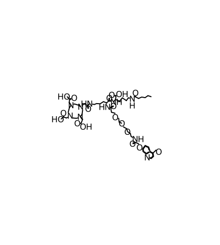 CCCCCC(=O)NCCCCC(NC(=O)C(CCCCNC(=O)CN1CCN(CC(=O)O)CCN(CC(=O)O)CCN(CC(=O)O)CC1)NC(=O)CCOCCOCCOCCNC(=O)COc1ccc2c(C=O)ccnc2c1)C(=O)O